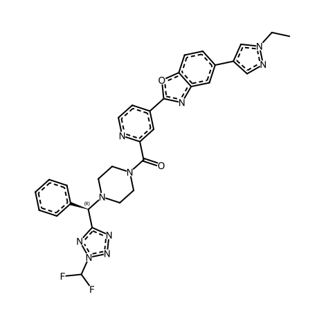 CCn1cc(-c2ccc3oc(-c4ccnc(C(=O)N5CCN([C@H](c6ccccc6)c6nnn(C(F)F)n6)CC5)c4)nc3c2)cn1